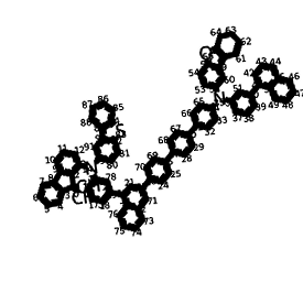 CC1(C)c2ccccc2-c2cccc(N(c3cccc(-c4cc(-c5ccc(-c6ccc(-c7ccc(N(c8cccc(-c9cccc%10ccccc9%10)c8)c8ccc9oc%10c(c9c8)C=CCC%10)cc7)cc6)cc5)cc5ccccc45)c3)c3ccc4sc5ccccc5c4c3)c21